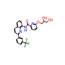 O=C(Nc1cccc2ccc(-c3cccc(C(F)(F)F)c3)nc12)c1cccc(OCC(O)CO)n1